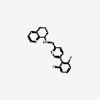 Fc1cccc(F)c1-c1ccc(CNC2CCCc3cccnc32)nc1